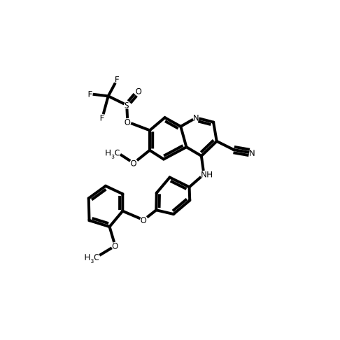 COc1ccccc1Oc1ccc(Nc2c(C#N)cnc3cc(OS(=O)C(F)(F)F)c(OC)cc23)cc1